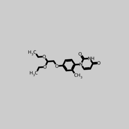 CCOC(COc1ccc(-n2ccc(=O)[nH]c2=O)c(C)c1)OCC